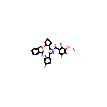 COc1c(F)c(F)cc(C(=O)N2N=C(c3ccc(F)cc3)SC2c2ccccc2OCc2ccccc2C(N)=O)c1F